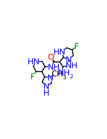 CN1CNCC1C1C(F)CNCC1NC(=O)C1C(N)NN2CC(F)CNC12